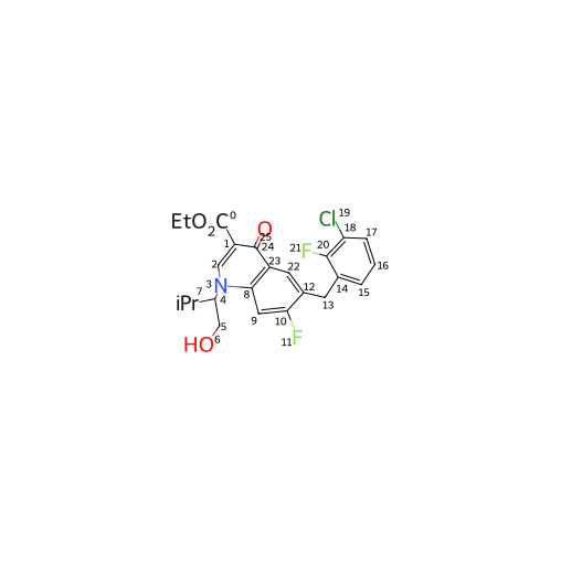 CCOC(=O)c1cn(C(CO)C(C)C)c2cc(F)c(Cc3cccc(Cl)c3F)cc2c1=O